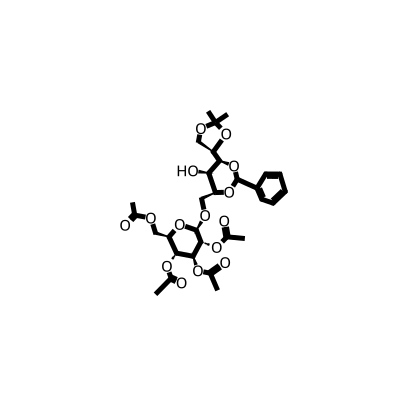 CC(=O)OC[C@H]1O[C@@H](OC[C@@H]2OC(c3ccccc3)O[C@H]([C@H]3COC(C)(C)O3)[C@@H]2O)[C@H](OC(C)=O)[C@@H](OC(C)=O)[C@@H]1OC(C)=O